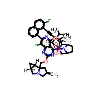 C=C1CN2C[C@@H]3C[C@@H]3C2(COc2nc3c4c(nc(-c5cccc6ccc(F)c(C#C[Si](C(C)C)(C(C)C)C(C)C)c56)c(F)c4n2)OC(C)C2C4CCC(CN32)N4C(=O)O)C1